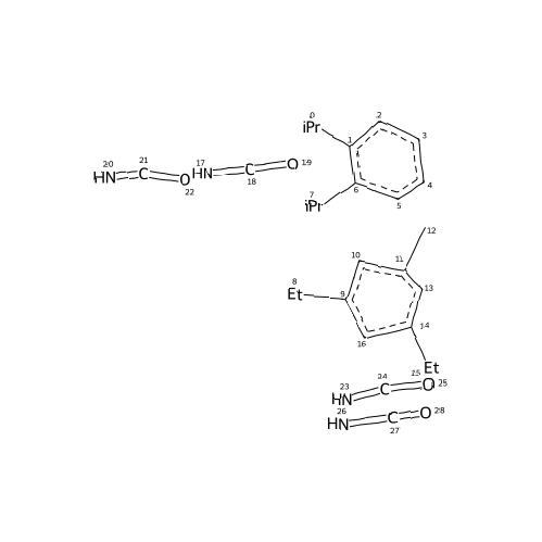 CC(C)c1ccccc1C(C)C.CCc1cc(C)cc(CC)c1.N=C=O.N=C=O.N=C=O.N=C=O